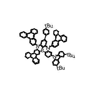 CC(C)(C)c1ccc(-c2cc3c4c(c2)N(c2ccc5c6ccccc6c6ccccc6c5c2)c2cc5c6ccccc6c6ccccc6c5cc2B4c2ccc(-n4c5ccc(C(C)(C)C)cc5c5cc(C(C)(C)C)ccc54)cc2N3c2ccc3c4ccccc4c4ccccc4c3c2)cc1